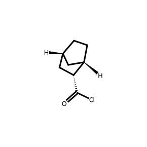 O=C(Cl)[C@@H]1C[C@@H]2CC[C@H]1C2